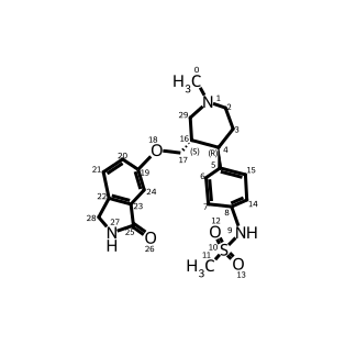 CN1CC[C@@H](c2ccc(NS(C)(=O)=O)cc2)[C@H](COc2ccc3c(c2)C(=O)NC3)C1